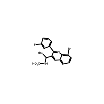 CC(C)(C)C(NC(=O)O)c1cc2cccc(Br)c2nc1-c1cccc(F)c1